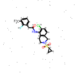 O=C(Cc1cccc(C(F)(F)F)c1F)Nc1c(Cl)ccc2c1CCN(S(=O)(=O)C1CC1)C2